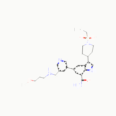 CCS(=O)(=O)N1CCC(c2c[nH]c3c(C(N)=O)cc(-c4cncc(CNCCCOC)c4)cc23)CC1